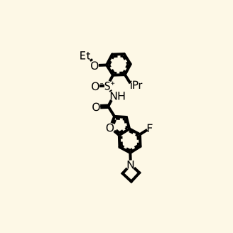 CCOc1cccc(C(C)C)c1[S+]([O-])NC(=O)c1cc2c(F)cc(N3CCC3)cc2o1